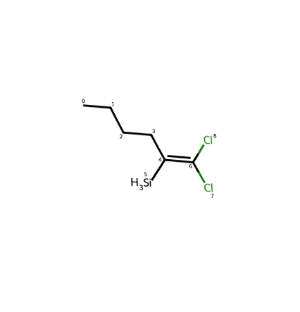 CCCCC([SiH3])=C(Cl)Cl